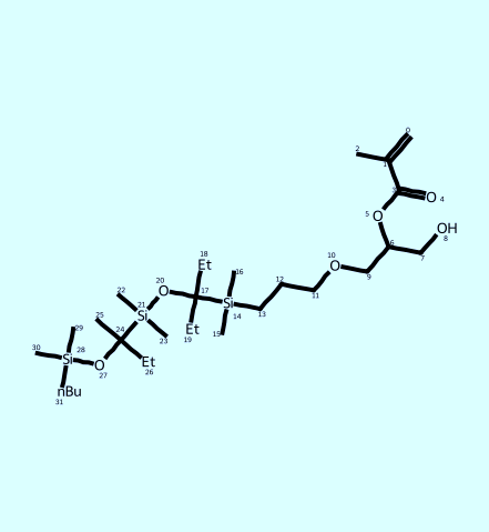 C=C(C)C(=O)OC(CO)COCCC[Si](C)(C)C(CC)(CC)O[Si](C)(C)C(C)(CC)O[Si](C)(C)CCCC